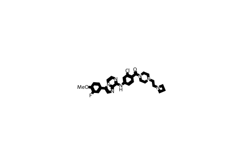 COc1ccc(-c2cnc3c(Nc4ccc(C(=O)N5CCN(CCN6CCC6)CC5)c(Cl)c4)nccn23)cc1F